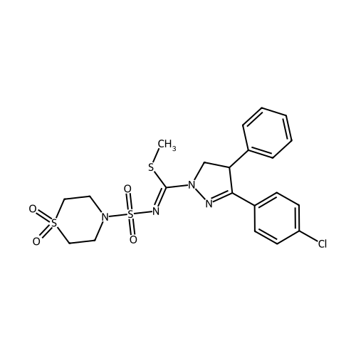 CSC(=NS(=O)(=O)N1CCS(=O)(=O)CC1)N1CC(c2ccccc2)C(c2ccc(Cl)cc2)=N1